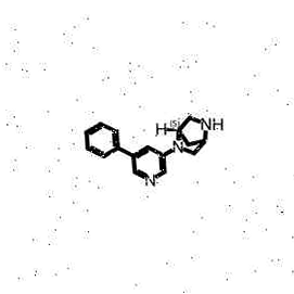 c1ccc(-c2cncc(N3CC4C[C@H]3CN4)c2)cc1